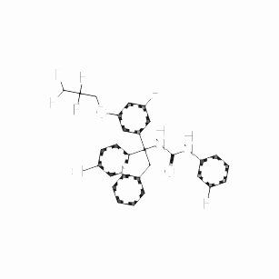 O=C(Nc1cccc(F)c1)NC(Cc1ccccc1)(c1cc(F)cc(OCC(F)(F)C(F)F)c1)c1ccc(Cl)cn1